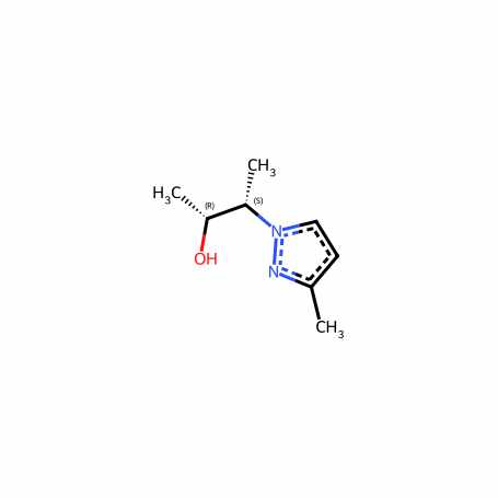 Cc1ccn([C@@H](C)[C@@H](C)O)n1